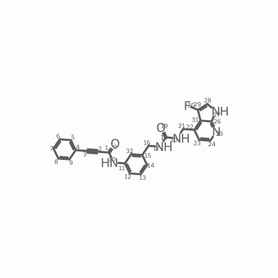 O=C(C#Cc1ccccc1)Nc1cccc(CNC(=O)NCc2ccnc3[nH]cc(F)c23)c1